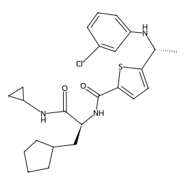 C[C@@H](Nc1cccc(Cl)c1)c1ccc(C(=O)N[C@@H](CC2CCCC2)C(=O)NC2CC2)s1